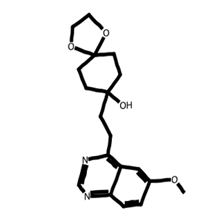 COc1ccc2ncnc(CCC3(O)CCC4(CC3)OCCO4)c2c1